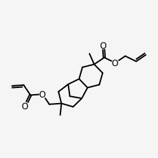 C=CCOC(=O)C1(C)CCC2C3CC(CC(C)(COC(=O)C=C)C3)C2C1